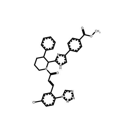 COC(=O)c1ccc(-c2c[nH]c(C3C(c4ccccc4)CCCN3C(=O)C=Cc3cc(Cl)ccc3-n3cnnn3)n2)cc1